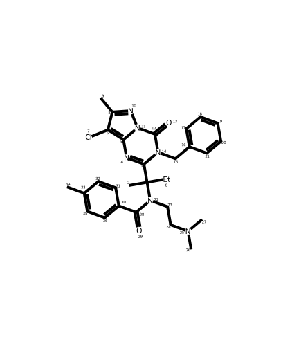 CCC(C)(c1nc2c(Cl)c(C)nn2c(=O)n1Cc1ccccc1)N(CCN(C)C)C(=O)c1ccc(C)cc1